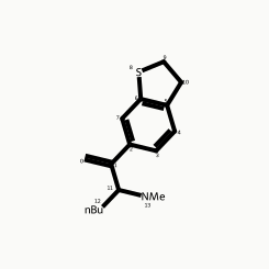 C=C(c1ccc2c(c1)SCC2)C(CCCC)NC